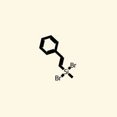 C[Si](Br)(Br)C=Cc1ccccc1